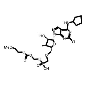 COCCOC(=O)OCOP(=O)(O)COC[C@H]1O[C@@H](n2ncc3c(NC4CCCC4)nc(Cl)nc32)[C@H](O)[C@@H]1C